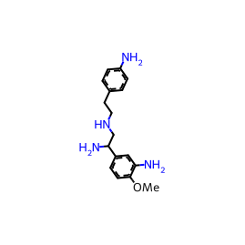 COc1ccc(C(N)CNCCc2ccc(N)cc2)cc1N